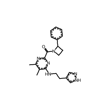 Cc1nc(C(=O)N2CCC2c2ccccc2)nc(NCCc2cn[nH]c2)c1C